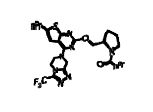 CCCC(=O)N1CCC[C@@H]1COc1nc(N2CCn3c(nnc3C(F)(F)F)C2)c2cc(CCC)sc2n1